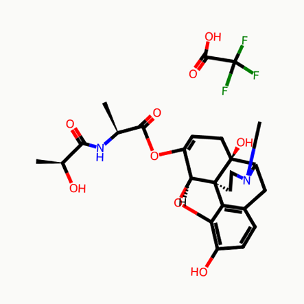 C[C@H](O)C(=O)N[C@@H](C)C(=O)OC1=CC[C@]2(O)C3Cc4ccc(O)c5c4[C@@]2(CCN3C)[C@H]1O5.O=C(O)C(F)(F)F